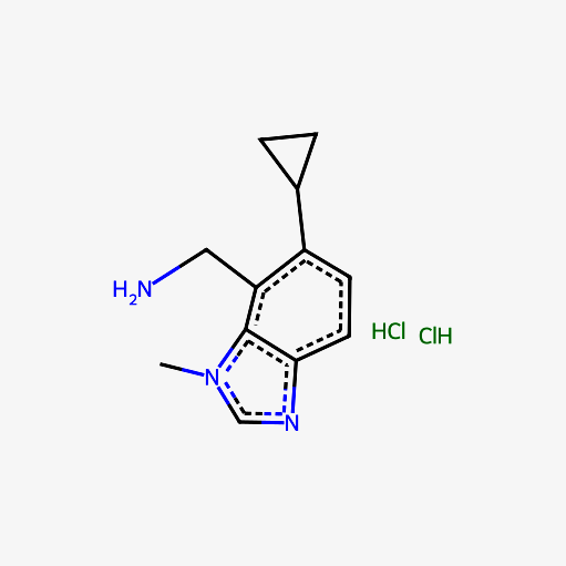 Cl.Cl.Cn1cnc2ccc(C3CC3)c(CN)c21